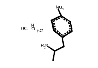 CC(N)Cc1ccc([N+](=O)[O-])cc1.Cl.Cl.Cl